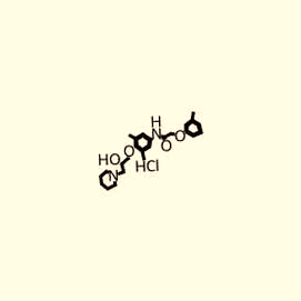 Cc1cccc(OCC(=O)Nc2cc(C)c(OCC(O)CN3CCCCC3)c(C)c2)c1.Cl